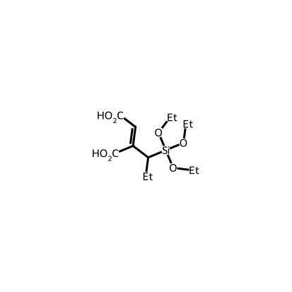 CCO[Si](OCC)(OCC)C(CC)/C(=C/C(=O)O)C(=O)O